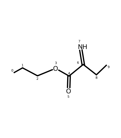 CCCOC(=O)C(=N)CC